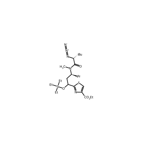 CCOC(=O)c1csc(C(C[C@H](C(C)C)N(C)C(=O)C(N=[N+]=[N-])[C@@H](C)CC)O[Si](CC)(CC)CC)n1